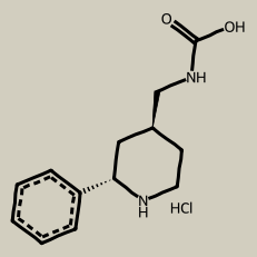 Cl.O=C(O)NC[C@H]1CCN[C@H](c2ccccc2)C1